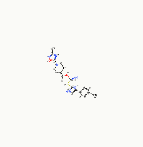 CC(C)c1noc(N2CCC(C(C)OC(=N)Sc3nc(-c4ccc(C#N)cc4)c[nH]3)CC2)n1